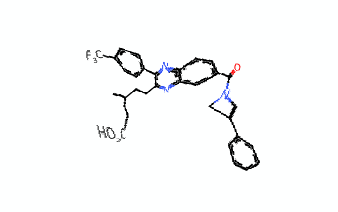 CC(CCc1nc2cc(C(=O)N3CC(c4ccccc4)C3)ccc2nc1-c1ccc(C(F)(F)F)cc1)CC(=O)O